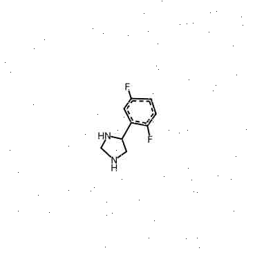 Fc1ccc(F)c(C2CNCN2)c1